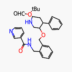 CC(C)(C)OC=O.O=C(NCc1ccccc1COC1CNCCC1c1ccccc1)c1cccnc1